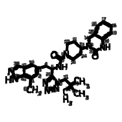 Cc1cc(CC(NC(=O)N2CCC(N3Cc4ccccc4NC3=O)CC2)c2nnnn2CC(C)(C)C)cc2cn[nH]c12